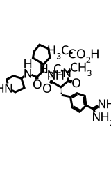 CC(=O)O.CN(C)C(=O)[C@H](Cc1ccc(C(=N)N)cc1)C(=O)N[C@H](C(=O)NC1CCNCC1)C1CCCCC1